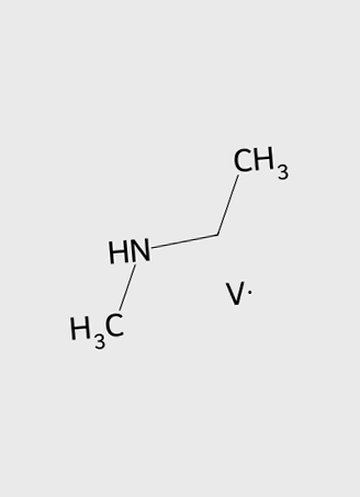 CCNC.[V]